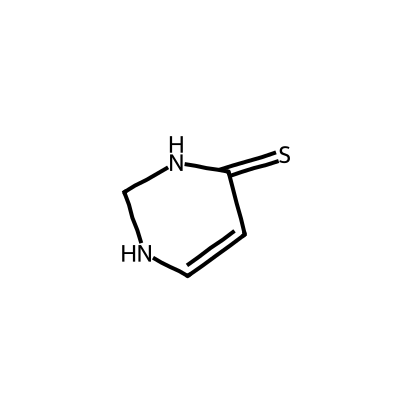 S=C1C=CNCN1